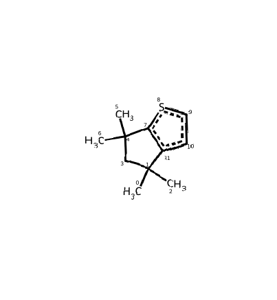 CC1(C)CC(C)(C)c2sccc21